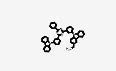 C=Cc1ccc2c(c1)c1ccccc1n2-c1cccc(-c2nc(-c3ccccc3)nc(-c3cccc(-n4c5ccccc5c5ccccc54)c3)n2)c1